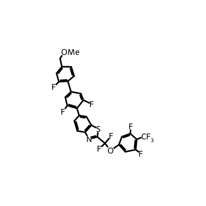 COCc1ccc(-c2cc(F)c(-c3ccc4nc(C(F)(F)Oc5cc(F)c(C(F)(F)F)c(F)c5)sc4c3)c(F)c2)c(F)c1